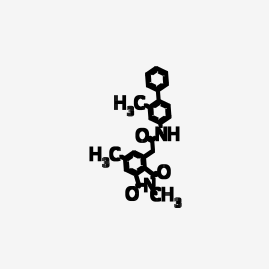 Cc1cc(CC(=O)Nc2ccc(-c3ccccc3)c(C)c2)c2c(c1)C(=O)N(C)C2=O